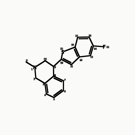 CN1Cc2ccccc2C(c2cc3cc(F)ccc3s2)C1